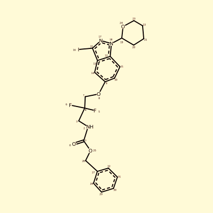 O=C(NCC(F)(F)COc1ccc2c(c1)c(I)nn2C1CCCCO1)OCc1ccccc1